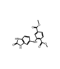 COC(=O)c1ccc(C(=O)OC)c(Nc2ccc3[nH]c(=O)[nH]c3c2)c1